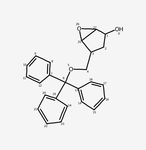 OC1CC(COC(c2ccccc2)(c2ccccc2)c2ccccc2)C2OC12